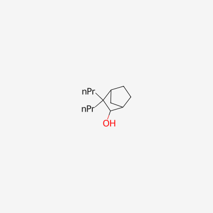 CCCC1(CCC)C2CCC(C2)C1O